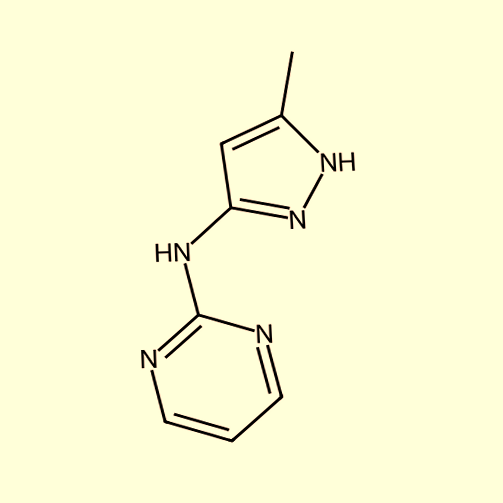 Cc1cc(Nc2ncccn2)n[nH]1